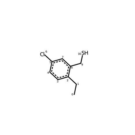 CCc1ccc(Cl)cc1CS